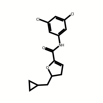 O=C(Nc1cc(Cl)cc(Cl)c1)C1=CCC(CC2CC2)O1